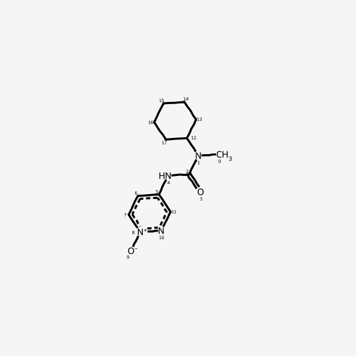 CN(C(=O)Nc1cc[n+]([O-])nc1)C1CCCCC1